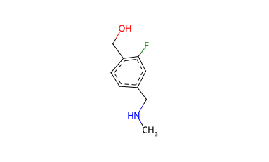 CNCc1ccc(CO)c(F)c1